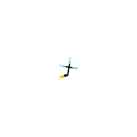 FC(F)(F)[C]=S